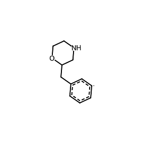 [c]1cccc(CC2CNCCO2)c1